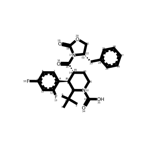 CC(C)(C)C1[C@@H](c2ccc(F)cc2F)[C@H](C(=O)N2C(=O)OC[C@@H]2Cc2ccccc2)CCN1C(=O)O